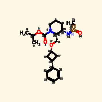 CC(C)OC(=O)N1CCC[C@H](/N=[SH](\C)=O)[C@@H]1CO[C@H]1C[C@@H](c2ccccc2)C1